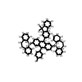 Cc1ccc(-c2c3ccc(N4C5=C(CCC=C5)CCc5ccccc54)cc3c(-c3ccc4c(c3)C(C)(C)c3ccccc3-4)c3ccc(N4c5ccccc5CCc5ccccc54)cc23)cc1